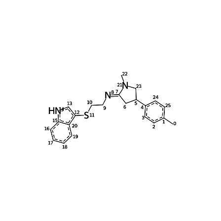 Cc1ccc(C2CC(=NCCSc3c[nH]c4ccccc34)N(C)C2)cc1